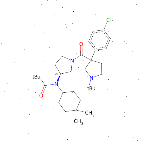 CC1(C)CCC(N(C(=O)C(C)(C)C)[C@H]2CCN(C(=O)C3(c4ccc(Cl)cc4)CCN(C(C)(C)C)C3)C2)CC1